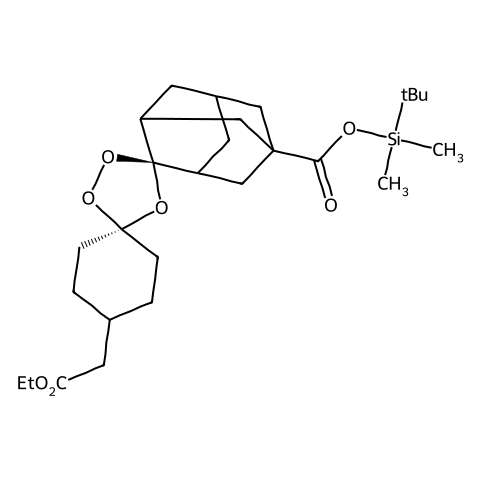 CCOC(=O)CC1CC[C@]2(CC1)OO[C@]1(O2)C2CC3CC1CC(C(=O)O[Si](C)(C)C(C)(C)C)(C3)C2